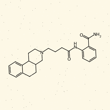 NC(=O)c1ccccc1NC(=O)CCCN1CCC2c3ccccc3CCC2C1